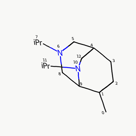 CC1CCC2CN(C(C)C)CC1N(C(C)C)C2